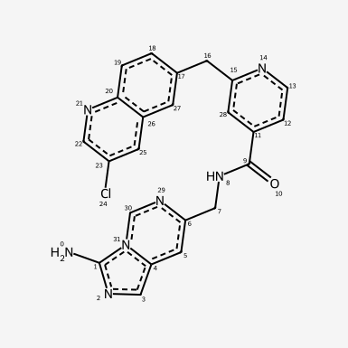 Nc1ncc2cc(CNC(=O)c3ccnc(Cc4ccc5ncc(Cl)cc5c4)c3)ncn12